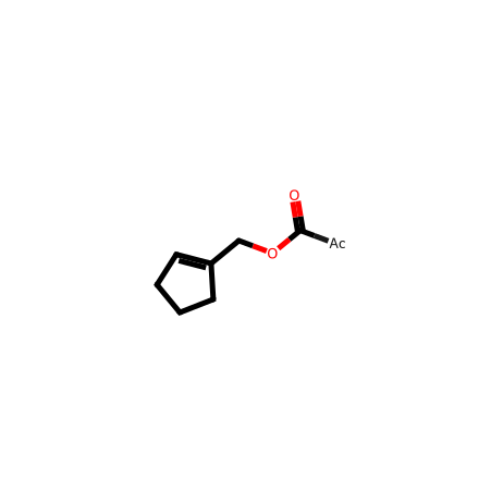 CC(=O)C(=O)OCC1=CCCC1